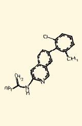 C=C(CCC)Nc1cc2ccc(-c3c(C)cccc3Cl)cc2cn1